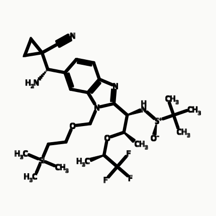 C[C@@H](O[C@H](C)C(F)(F)F)[C@H](N[S@+]([O-])C(C)(C)C)c1nc2ccc([C@H](N)C3(C#N)CC3)cc2n1COCC[Si](C)(C)C